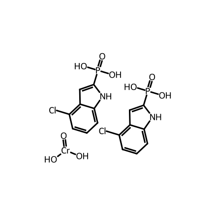 O=P(O)(O)c1cc2c(Cl)cccc2[nH]1.O=P(O)(O)c1cc2c(Cl)cccc2[nH]1.[O]=[Cr]([OH])[OH]